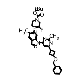 Cc1nc(C2CC(OCc3ccccc3)C2)cc(-n2ncc3cc(C)c([PH]4=C(F)CN(C(=O)OC(C)(C)C)CC4)cc32)n1